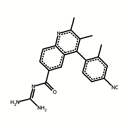 [C-]#[N+]c1ccc(-c2c(C)c(C)nc3ccc(C(=O)N=C(N)N)cc23)c(C)c1